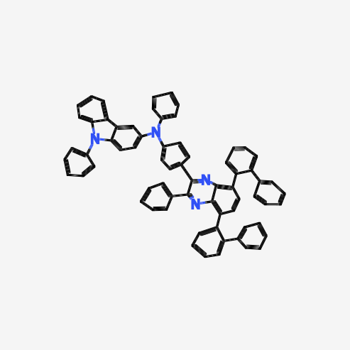 c1ccc(-c2ccccc2-c2ccc(-c3ccccc3-c3ccccc3)c3nc(-c4ccc(N(c5ccccc5)c5ccc6c(c5)c5ccccc5n6-c5ccccc5)cc4)c(-c4ccccc4)nc23)cc1